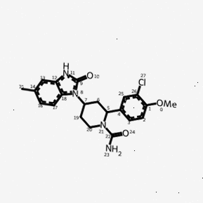 COc1ccc(C2CC(n3c(=O)[nH]c4cc(C)ccc43)CCN2C(N)=O)cc1Cl